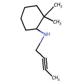 CC#CCNC1CCCCC1(C)C